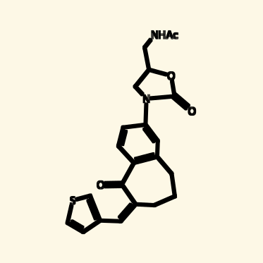 CC(=O)NCC1CN(c2ccc3c(c2)CCCC(=Cc2ccsc2)C3=O)C(=O)O1